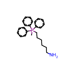 CP(CCCCCCN)(c1ccccc1)(c1ccccc1)c1ccccc1